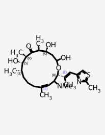 CNC1/C=C(/C)CCC[C@H](C)[C@H](O)[C@@H](C)C(=O)C(C)[C@@H](O)CC(O)O[C@@H]1/C(C)=C/c1csc(C)n1